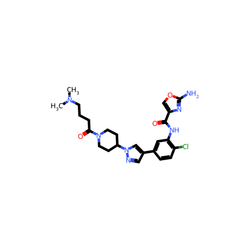 CN(C)CCCC(=O)N1CCC(n2cc(-c3ccc(Cl)c(NC(=O)c4coc(N)n4)c3)cn2)CC1